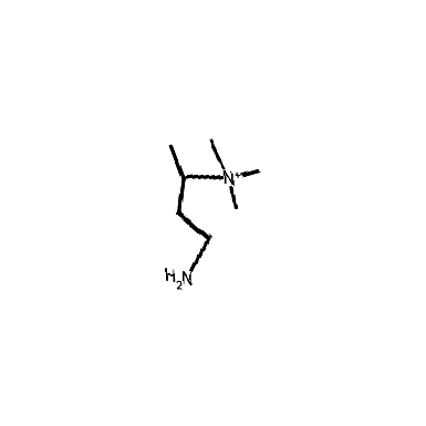 CC(CCN)[N+](C)(C)C